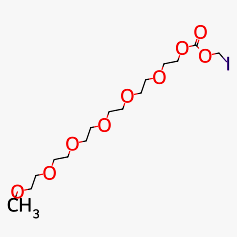 COCCOCCOCCOCCOCCOCCOC(=O)OCI